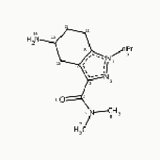 CCCn1nc(C(=O)N(C)C)c2c1CCC(N)C2